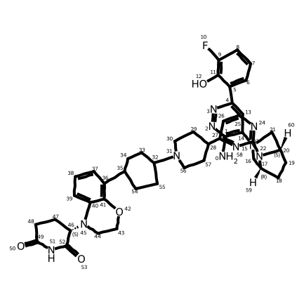 Nc1nnc(-c2cccc(F)c2O)cc1N1C[C@H]2CC[C@@H](C1)N2c1nccc(C2CCN(C3CCC(c4cccc5c4OCCN5[C@H]4CCC(=O)NC4=O)CC3)CC2)n1